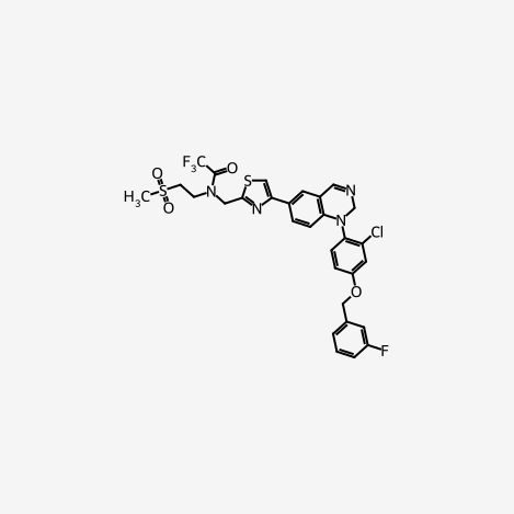 CS(=O)(=O)CCN(Cc1nc(-c2ccc3c(c2)C=NCN3c2ccc(OCc3cccc(F)c3)cc2Cl)cs1)C(=O)C(F)(F)F